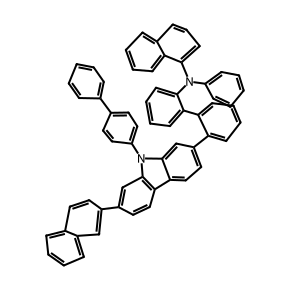 c1ccc(-c2ccc(-n3c4cc(-c5ccc6ccccc6c5)ccc4c4ccc(-c5ccccc5-c5ccccc5N(c5ccccc5)c5cccc6ccccc56)cc43)cc2)cc1